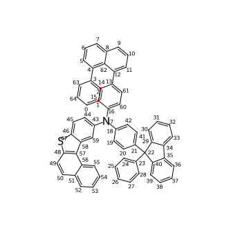 c1ccc(-c2cccc3cccc(-c4ccc(N(c5ccc(C6(c7ccccc7)c7ccccc7-c7ccccc76)cc5)c5ccc6sc7ccc8ccccc8c7c6c5)cc4)c23)cc1